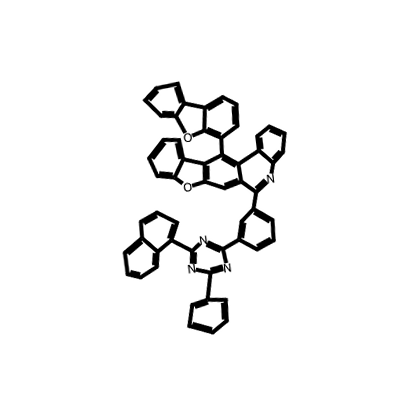 c1ccc(-c2nc(-c3cccc(-c4nc5ccccc5c5c(-c6cccc7c6oc6ccccc67)c6c(cc45)oc4ccccc46)c3)nc(-c3cccc4ccccc34)n2)cc1